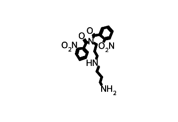 NCCCCNCCCN(C(=O)c1ccccc1[N+](=O)[O-])C(=O)c1ccccc1[N+](=O)[O-]